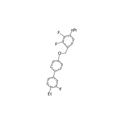 CCCc1ccc(COc2ccc(-c3ccc(CC)c(F)c3)cc2)c(F)c1F